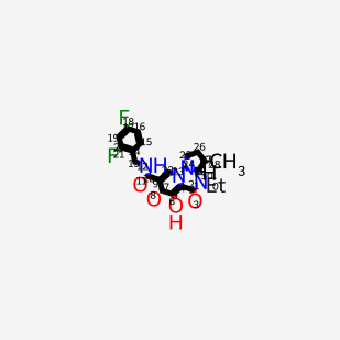 CCN1C(=O)c2c(O)c(=O)c(C(=O)NCc3ccc(F)cc3F)cn2N2CC[C@H](C)[C@@H]12